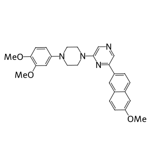 COc1ccc2cc(-c3cncc(N4CCN(c5ccc(OC)c(OC)c5)CC4)n3)ccc2c1